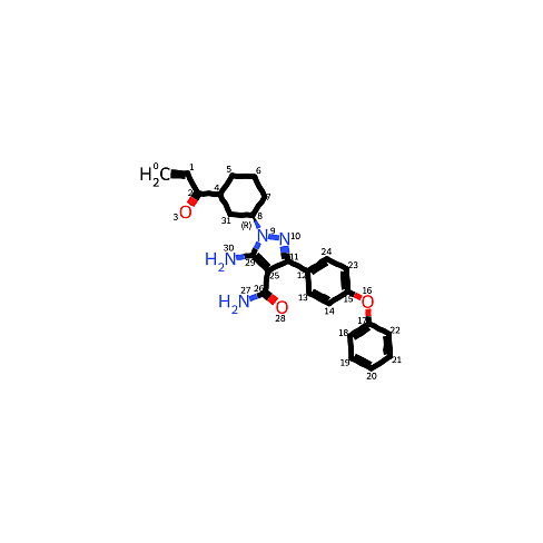 C=CC(=O)C1CCC[C@@H](n2nc(-c3ccc(Oc4ccccc4)cc3)c(C(N)=O)c2N)C1